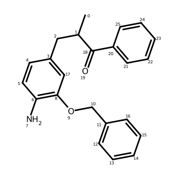 CC(Cc1ccc(N)c(OCc2ccccc2)c1)C(=O)c1ccccc1